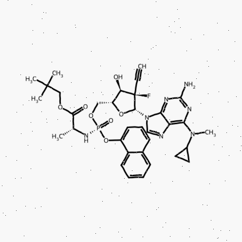 C#C[C@@]1(F)[C@H](O)[C@@H](CO[P@](=O)(N[C@H](C)C(=O)OCC(C)(C)C)Oc2cccc3ccccc23)O[C@H]1n1cnc2c(N(C)C3CC3)nc(N)nc21